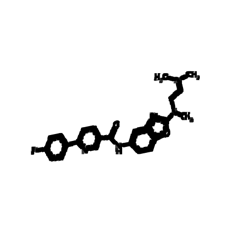 CN(C)CCN(C)c1nc2cc(NC(=O)c3ccc(-c4ccc(F)cc4)nc3)ccc2o1